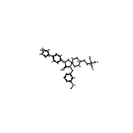 COc1cccc(CN2C(=O)N(c3ccc(-c4cn[nH]c4)cc3)CC23CCN(CCC(F)(F)F)CC3)c1